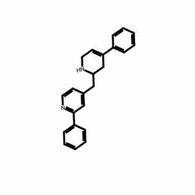 C1=C(c2ccccc2)CC(Cc2ccnc(-c3ccccc3)c2)NC1